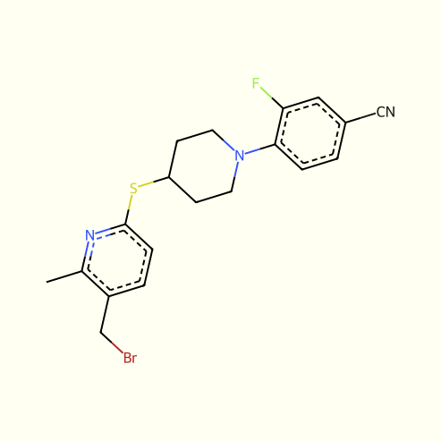 Cc1nc(SC2CCN(c3ccc(C#N)cc3F)CC2)ccc1CBr